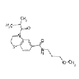 COCCCNC(=O)c1ccc2c(c1)N(C(=O)C(C)C)CCS2